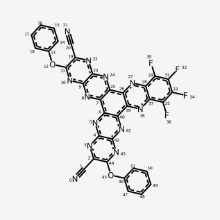 N#Cc1nc2nc3c4nc5nc(Oc6ccccc6)c(C#N)nc5nc4c4nc5c(F)c(F)c(F)c(F)c5nc4c3nc2nc1Oc1ccccc1